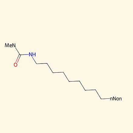 CCCCCCCCCCCCCCCCCCNC(=O)NC